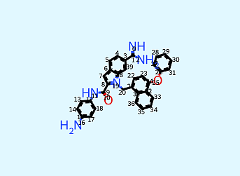 N=C(N)c1ccc2cc(C(=O)Nc3ccc(N)cc3)n(Cc3ccc(Oc4ccccc4)c4ccccc34)c2c1